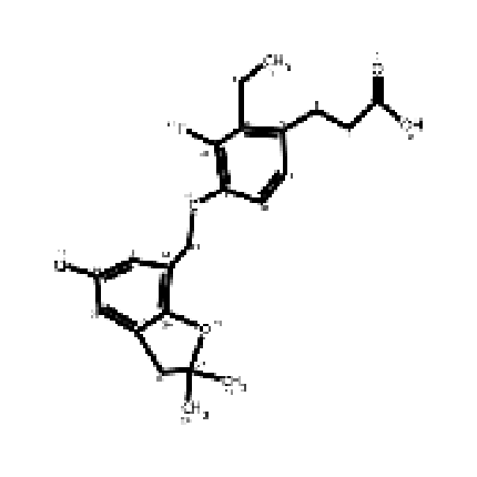 CCc1c(CCC(=O)O)ccc(OCc2cc(Cl)cc3c2OC(C)(C)C3)c1F